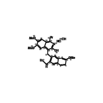 CCNc1nc2ccc(OC)cc2cc1Cc1c(O)nc(C(C)C)c2cc(OC)c(OC)cc12.Cl.Cl